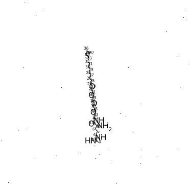 CC(=N)NCCCC(N)C(=O)NCCOCCOCCOCCOCCCCCCCCCCSC(C)C